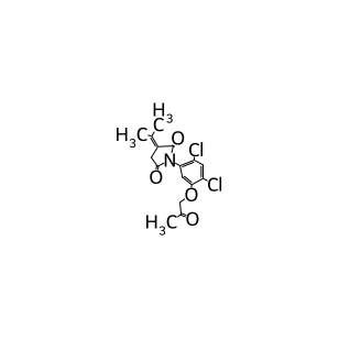 CC(=O)COc1cc(N2C(=O)CC(=C(C)C)C2=O)c(Cl)cc1Cl